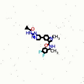 CC(NC(=O)c1cn(C)c2ccc(-c3ccn4nc(NC(=O)C5CC5)nc4c3)cc12)c1ccc(F)c(F)c1